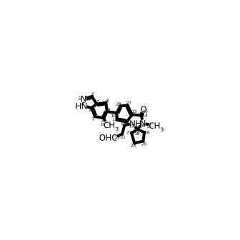 Cc1cc2[nH]ncc2cc1-c1ccc(C(=O)N(C)C2(NCCC=O)CCCC2)cc1